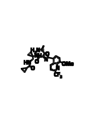 COc1ccc(-c2nc(C(=O)NC3(CNC(=O)C4CC4)CC3)c([C@H](C)N)o2)c2ccc(C(F)(F)F)nc12